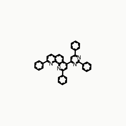 c1ccc(-c2cc(-c3cc(-c4ccccc4)nc4c3ccc3ccc(-c5ccccc5)nc34)nc(-c3ccccc3)n2)cc1